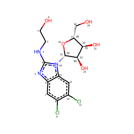 OCCNc1nc2cc(Cl)c(Cl)cc2n1[C@@H]1O[C@H](CO)[C@@H](O)[C@H]1O